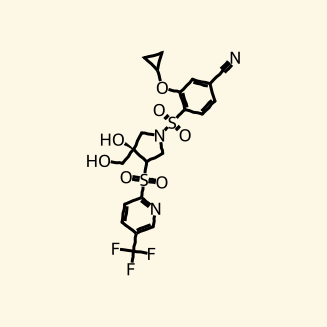 N#Cc1ccc(S(=O)(=O)N2CC(S(=O)(=O)c3ccc(C(F)(F)F)cn3)[C@](O)(CO)C2)c(OC2CC2)c1